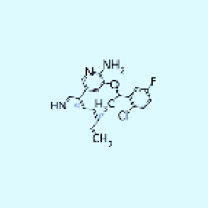 C=C/C=C\C=C(\C=N)c1cnc(N)c(OC(C)c2cc(F)ccc2Cl)c1